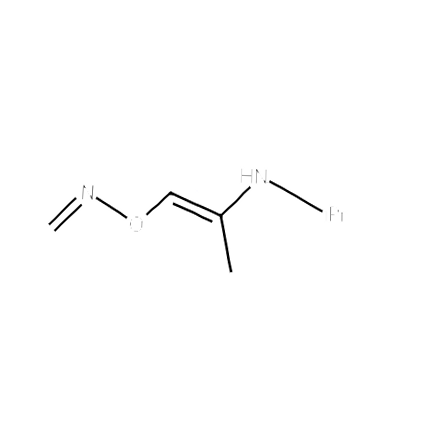 C=NO/C=C(\C)NC(C)C